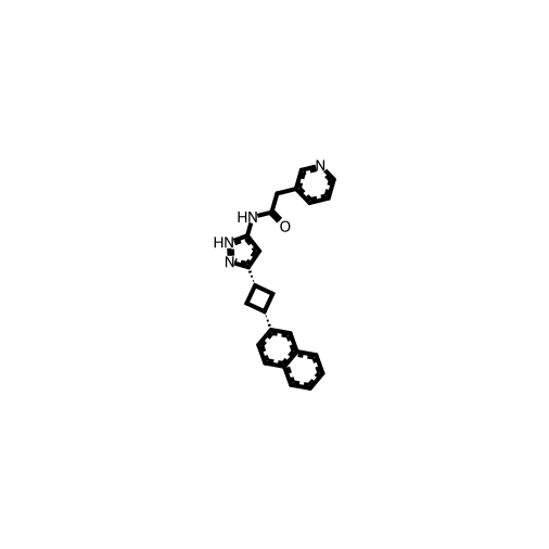 O=C(Cc1cccnc1)Nc1cc([C@H]2C[C@@H](c3ccc4ccccc4c3)C2)n[nH]1